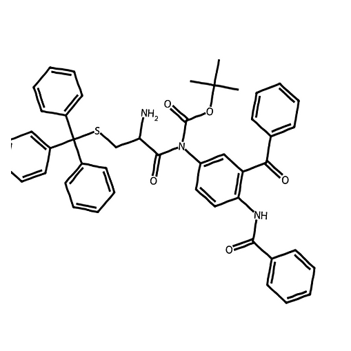 CC(C)(C)OC(=O)N(C(=O)C(N)CSC(c1ccccc1)(c1ccccc1)c1ccccc1)c1ccc(NC(=O)c2ccccc2)c(C(=O)c2ccccc2)c1